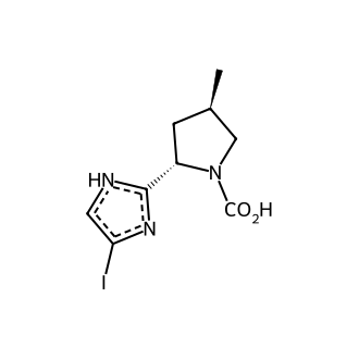 C[C@@H]1C[C@@H](c2nc(I)c[nH]2)N(C(=O)O)C1